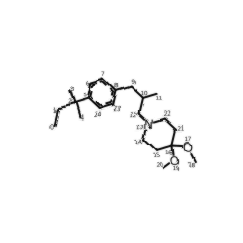 CCC(C)(C)c1ccc(CC(C)CN2CCC(OC)(OC)CC2)cc1